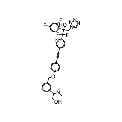 CN(C)C(CO)c1cccc(COc2ccc(C#Cc3ccc(C(F)(F)C(O)(Cn4cnnn4)c4ccc(F)cc4F)nc3)cc2)c1